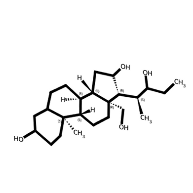 CCC(O)[C@@H](C)[C@H]1C(O)C[C@H]2[C@@H]3CCC4CC(O)CC[C@]4(C)[C@H]3CC[C@]12CO